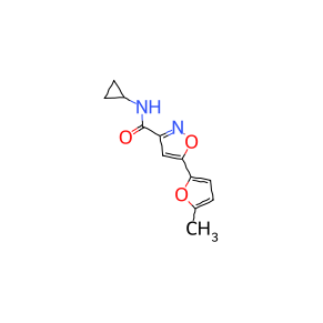 Cc1ccc(-c2cc(C(=O)NC3CC3)no2)o1